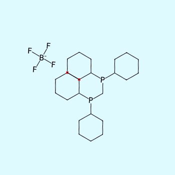 C1CCC(P(CP(C2CCCCC2)C2CCCCC2)C2CCCCC2)CC1.F[B-](F)(F)F